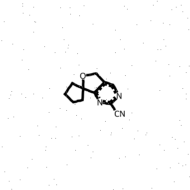 N#Cc1ncc2c(n1)C1(CCCC1)OC2